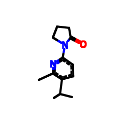 Cc1nc(N2CCCC2=O)ccc1C(C)C